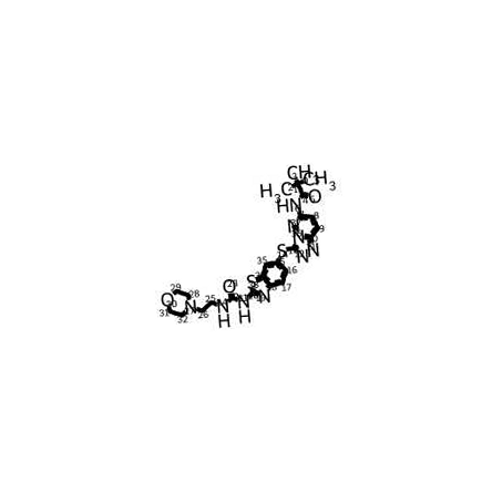 CC(C)(C)C(=O)Nc1ccc2nnc(Sc3ccc4nc(NC(=O)NCCN5CCOCC5)sc4c3)n2n1